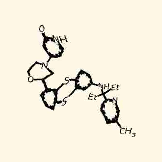 CCC(CC)(Nc1ccc2c(c1)Sc1cccc(C3CN(c4cc[nH]c(=O)c4)CCO3)c1S2)c1ccc(C)cn1